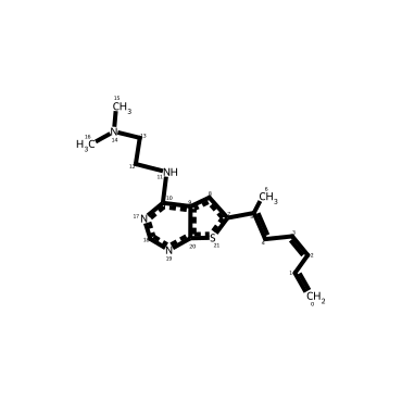 C=C/C=C\C=C(/C)c1cc2c(NCCN(C)C)ncnc2s1